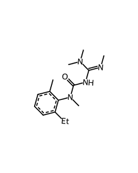 CCc1cccc(C)c1N(C)C(=O)NC(=NC)N(C)C